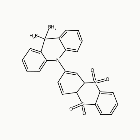 BC1(B)c2ccccc2N(C2=CC3C(C=C2)S(=O)(=O)c2ccccc2S3(=O)=O)c2ccccc21